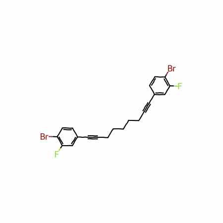 Fc1cc(C#CCCCCCC#Cc2ccc(Br)c(F)c2)ccc1Br